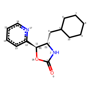 O=C1N[C@@H](CC2CCCCC2)[C@H](c2ccccn2)O1